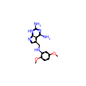 COc1ccc(OC)c(NCc2cnc3[nH]c(N)nc(N)c2-3)c1